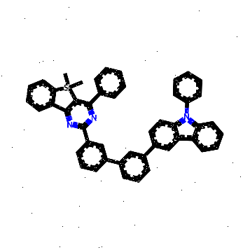 C[Si]1(C)c2ccccc2-c2nc(-c3cccc(-c4cccc(-c5ccc6c(c5)c5ccccc5n6-c5ccccc5)c4)c3)nc(-c3ccccc3)c21